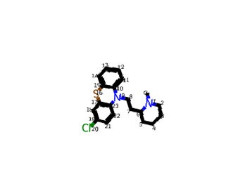 CN1CCCCC1CCN1c2ccccc2Sc2cc(Cl)ccc21